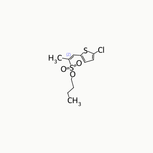 CCCCOS(=O)(=O)/C(C)=C\c1ccc(Cl)s1